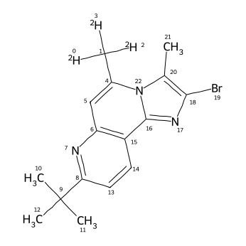 [2H]C([2H])([2H])c1cc2nc(C(C)(C)C)ccc2c2nc(Br)c(C)n12